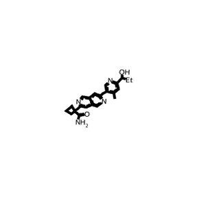 CCC(O)c1cc(C)c(-c2cc3cnc(C4(C(N)=O)CCC4)cc3cn2)cn1